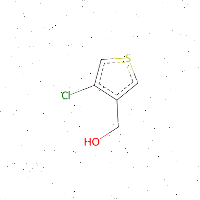 OCc1cscc1Cl